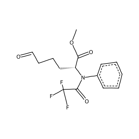 COC(=O)[C@@H](CCCC=O)N(C(=O)C(F)(F)F)c1ccccc1